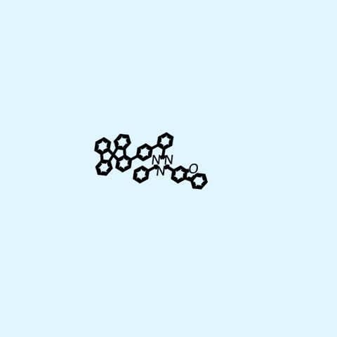 c1ccc(-c2nc(-c3ccc4c(c3)oc3ccccc34)nc(-c3ccccc3-c3ccc(-c4cccc5c4-c4ccccc4C54c5ccccc5-c5ccccc54)cc3)n2)cc1